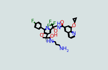 C[C@]1(C(=O)NCCCN)COc2c1cc([C@@](O)(CNC(=O)c1cc(OC3CC3)c3ncccc3c1)C(F)(F)F)nc2-c1ccc(F)cc1